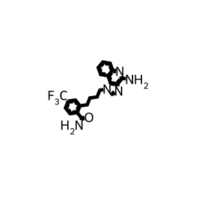 NC(=O)c1ccc(C(F)(F)F)cc1CCCCn1cnc2c(N)nc3ccccc3c21